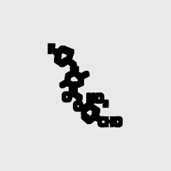 CC1CN(C(=O)COc2ccc(C=O)cc2[N+](=O)[O-])C(C)CN1Cc1ccc(F)cc1